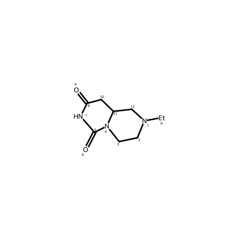 CCN1CCN2C(=O)NC(=O)CC2C1